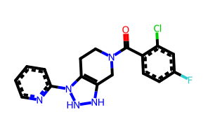 O=C(c1ccc(F)cc1Cl)N1CCC2=C(C1)NNN2c1ccccn1